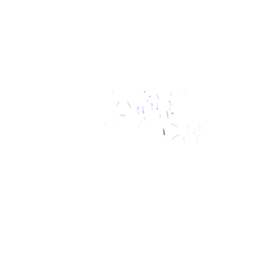 CC1(Cc2ccc(OC(F)(F)F)cc2)C(=O)N(c2cc(Cl)cc(Cl)c2)c2ncc(C(=O)O)n21